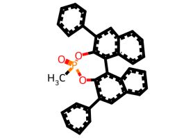 CP1(=O)Oc2c(-c3ccccc3)cc3ccccc3c2-c2c(c(-c3ccccc3)cc3ccccc23)O1